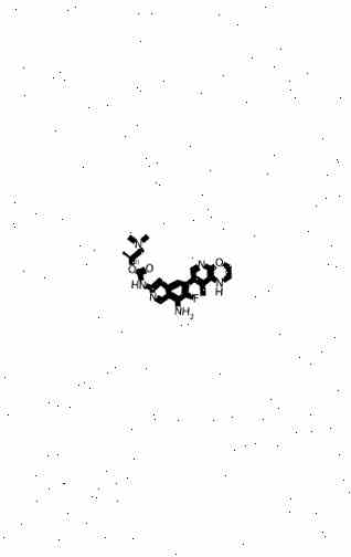 Cc1c(-c2cc3cc(NC(=O)O[C@@H](C)CN(C)C)ncc3c(N)c2F)cnc2c1NCCO2